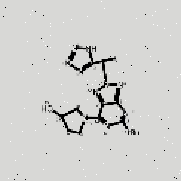 CC(c1nnn[nH]1)n1nc2nc(C(C)(C)C)nc(N3CCC(O)C3)c2n1